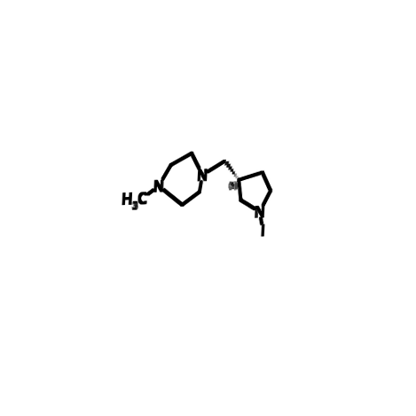 CN1CCN(C[C@@H]2CCN(I)C2)CC1